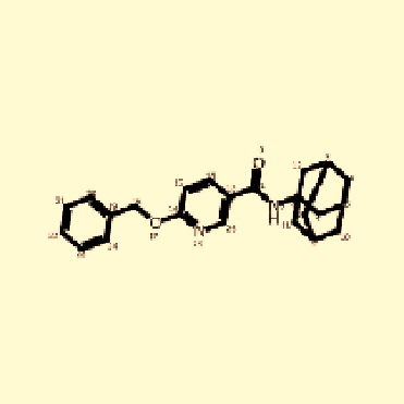 O=C(NC12CC3CC(CC(C3)C1)C2)c1ccc(OCc2ccccc2)nc1